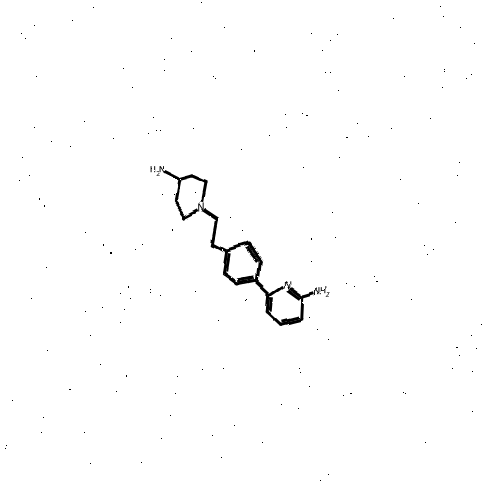 Nc1cccc(-c2ccc(CCN3CCC(N)CC3)cc2)n1